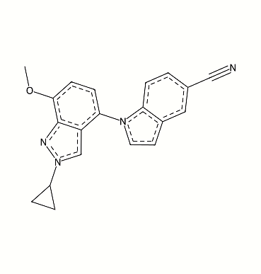 COc1ccc(-n2ccc3cc(C#N)ccc32)c2cn(C3CC3)nc12